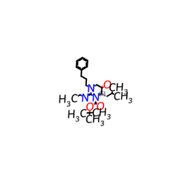 CCN=C1N(CCCc2ccccc2)CC(=O)[C@H](CC(C)C)N1C(=O)OC(C)(C)C